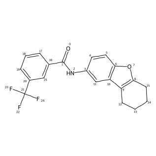 O=C(Nc1ccc2oc3c(c2c1)CCCC3)c1cccc(C(F)(F)F)c1